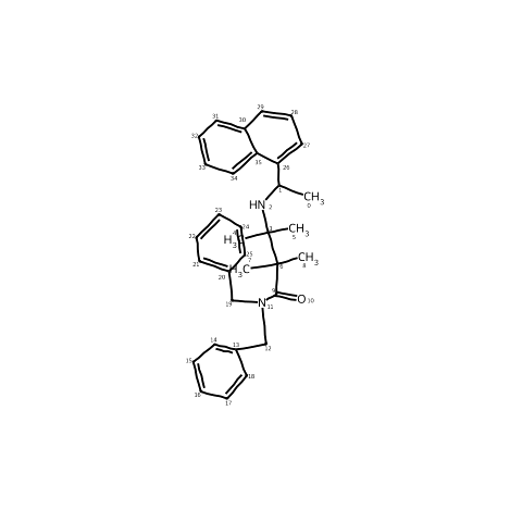 CC(NC(C)(C)C(C)(C)C(=O)N(Cc1ccccc1)Cc1ccccc1)c1cccc2ccccc12